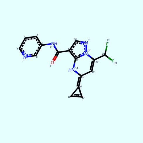 O=C(Nc1cccnc1)c1cnn2c1NC(=C1C=C1)C=C2C(F)F